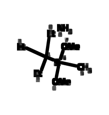 CCC(CC)(CC)[Si](C)(OC)OC.N